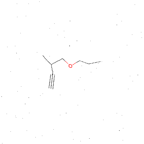 C#CC(C)COCC[CH2]